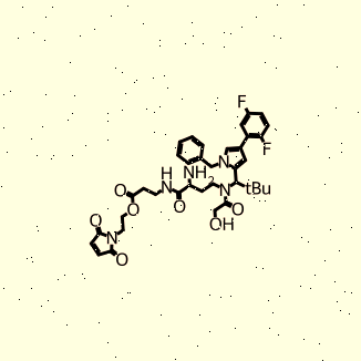 CC(C)(C)C(c1cc(-c2cc(F)ccc2F)cn1Cc1ccccc1)N(CCC(N)C(=O)NCCC(=O)OCCN1C(=O)C=CC1=O)C(=O)CO